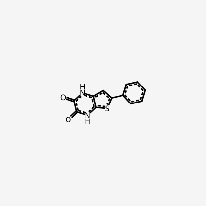 O=c1[nH]c2cc(-c3ccccc3)sc2[nH]c1=O